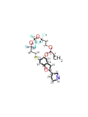 C=CC(=O)OCCC(F)(F)OC(F)(F)OC(F)(F)CCSc1ccc2cc(-c3cccnc3)oc2c1